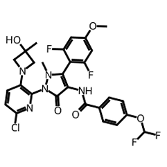 COc1cc(F)c(-c2c(NC(=O)c3ccc(OC(F)F)cc3)c(=O)n(-c3nc(Cl)ccc3N3CC(C)(O)C3)n2C)c(F)c1